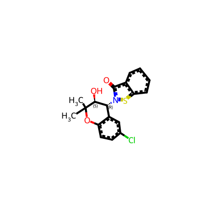 CC1(C)Oc2ccc(Cl)cc2[C@@H](n2sc3ccccc3c2=O)[C@@H]1O